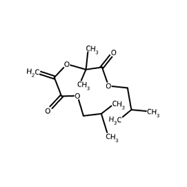 C=C(OC(C)(C)C(=O)OCC(C)C)C(=O)OCC(C)C